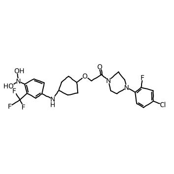 O=C(COC1CCC(Nc2ccc(N(O)O)c(C(F)(F)F)c2)CC1)N1CCN(c2ccc(Cl)cc2F)CC1